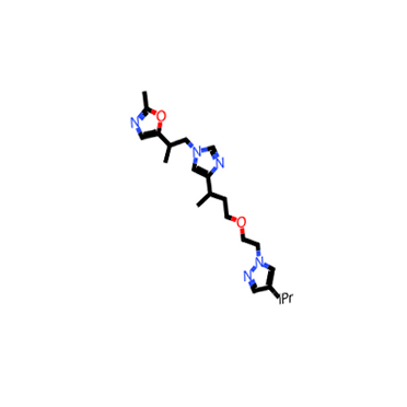 Cc1ncc(C(C)Cn2cnc(C(C)CCOCCn3cc(C(C)C)cn3)c2)o1